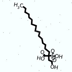 CCCCCCCCCCCCCCCCC(CC(=O)O)(C(=O)O)S(=O)(=O)O